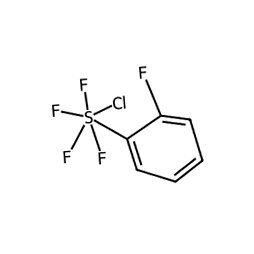 Fc1ccccc1S(F)(F)(F)(F)Cl